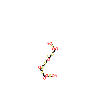 O=C(CCSCCC(=O)SCCSCCOC(=S)CCSCCC(=O)OCSCO)OCSCO